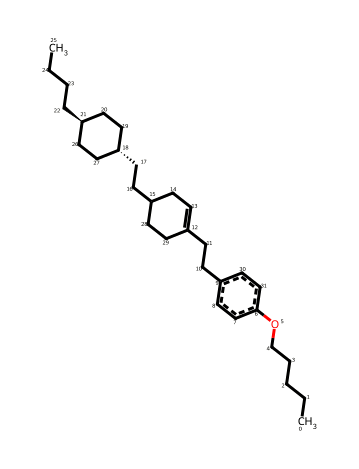 CCCCCOc1ccc(CCC2=CCC(CC[C@H]3CC[C@H](CCCC)CC3)CC2)cc1